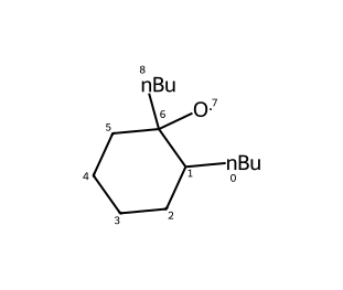 CCCCC1CCCCC1([O])CCCC